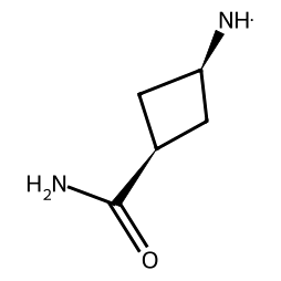 [NH][C@H]1C[C@@H](C(N)=O)C1